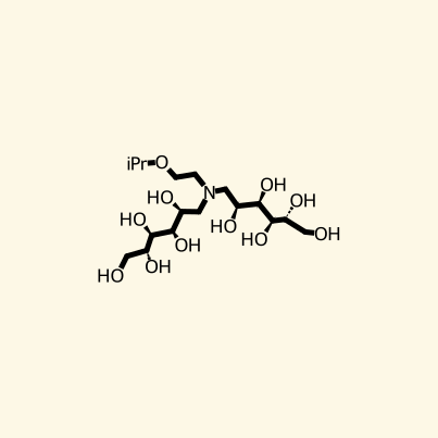 CC(C)OCCN(C[C@H](O)[C@@H](O)[C@H](O)[C@H](O)CO)C[C@H](O)[C@@H](O)[C@H](O)[C@H](O)CO